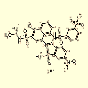 CC(C)NS(=O)(=O)c1cc(N=Nc2ccc([N+](=O)[O-])cc2S(C)(=O)=O)c2c(NS(=O)(=O)c3cccc(S(=O)(=O)[O-])c3)cccc2c1O.[Na+]